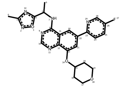 Cc1noc(C(C)Nc2ncnc3c(OC4CCOCC4)cc(-c4ccc(F)cn4)cc23)n1